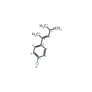 C/C(=C\C(C)C)c1ccc(Cl)cc1